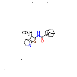 O=C(O)c1c(NC(=O)C23CC4CC(CC2C4)C3)sc2c1C1CCN2CC1